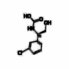 O=C(O)N[C@@H](CO)c1cccc(Cl)c1